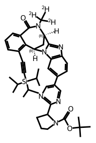 [2H]C([2H])([2H])N1C(=O)c2cccc(C#C[Si](C(C)C)(C(C)C)C(C)C)c2[C@H]2C[C@@H]1c1nc3ccc(-c4cnc(C5CCCN5C(=O)OC(C)(C)C)nc4)cc3n12